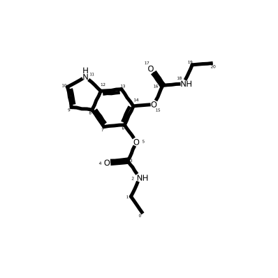 CCNC(=O)Oc1cc2cc[nH]c2cc1OC(=O)NCC